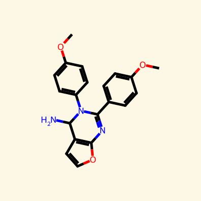 COc1ccc(C2=Nc3occc3C(N)N2c2ccc(OC)cc2)cc1